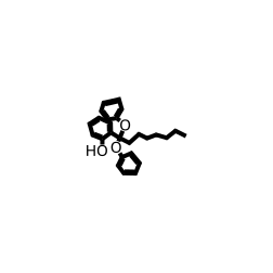 CCCCCCCC(Oc1ccccc1)(Oc1ccccc1)c1ccccc1O